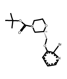 CC(C)(C)OC(=O)N1CCO[C@H](COc2cccnc2Br)C1